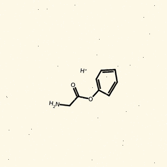 NCC(=O)Oc1ccccc1.[H+]